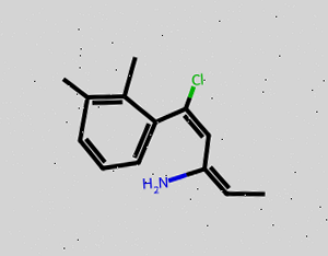 C/C=C(N)\C=C(\Cl)c1cccc(C)c1C